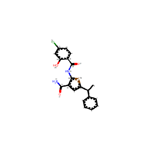 CC(c1ccccc1)c1cc(C(N)=O)c(NC(=O)c2ccc(Cl)cc2O)s1